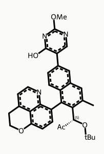 COc1ncc(-c2ccc3c(-c4ccc5c6c(ccnc46)CCO5)c([C@H](OC(C)(C)C)C(C)=O)c(C)cc3c2)c(O)n1